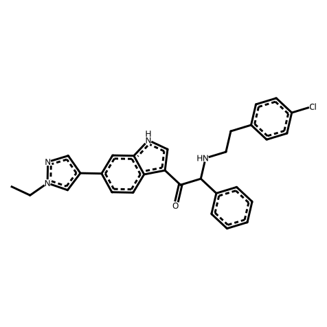 CCn1cc(-c2ccc3c(C(=O)C(NCCc4ccc(Cl)cc4)c4ccccc4)c[nH]c3c2)cn1